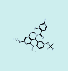 COc1cc2c(c(OC)c1)C(c1cccc(OC(F)(F)F)c1)N(C(=O)c1ccc(F)cc1F)CC2